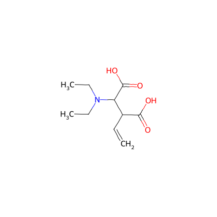 C=CC(C(=O)O)C(C(=O)O)N(CC)CC